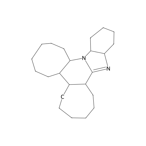 C1CCCC2C(CC1)C1=NC3CCCCC3N1C1CCCCCCC21